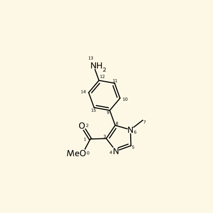 COC(=O)c1ncn(C)c1-c1ccc(N)cc1